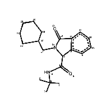 CC(C)(C)NC(=O)C1c2ccccc2C(=O)N1CC1CCCCC1